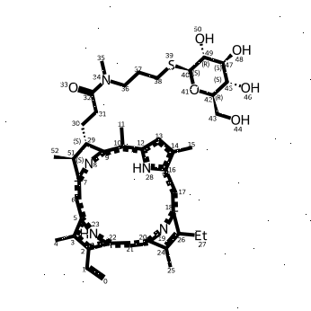 C=Cc1c(C)c2cc3nc(c(C)c4cc(C)c(cc5nc(cc1[nH]2)C(C)=C5CC)[nH]4)[C@@H](CCC(=O)N(C)CCCS[C@@H]1O[C@H](CO)[C@@H](O)[C@H](O)[C@H]1O)[C@@H]3C